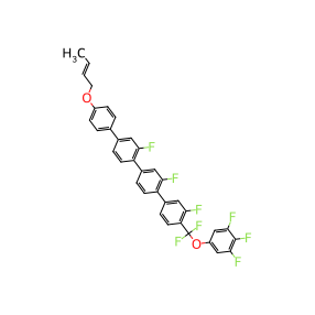 C/C=C/COc1ccc(-c2ccc(-c3ccc(-c4ccc(C(F)(F)Oc5cc(F)c(F)c(F)c5)c(F)c4)c(F)c3)c(F)c2)cc1